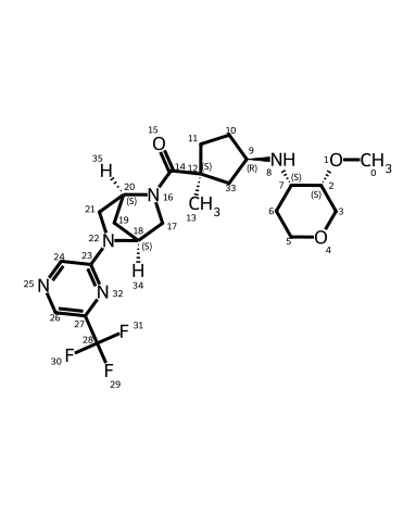 CO[C@@H]1COCC[C@@H]1N[C@@H]1CC[C@](C)(C(=O)N2C[C@@H]3C[C@H]2CN3c2cncc(C(F)(F)F)n2)C1